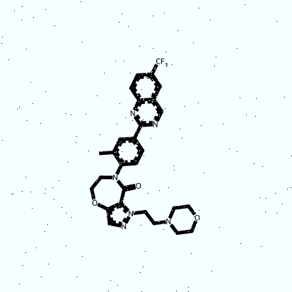 Cc1cc(-c2ncc3cc(C(F)(F)F)ccc3n2)ccc1N1CCOc2cnn(CCN3CCOCC3)c2C1=O